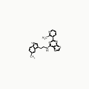 Cc1ccc2[nH]cc(CCNc3nc(-c4cccnc4C)nc4scnc34)c2c1